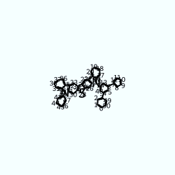 c1ccc(-c2cc(-c3ccccc3)cc(-n3c4ccccc4c4cc5c(cc43)sc3cc4c(cc35)c3ccccc3n4-c3ccccc3)c2)cc1